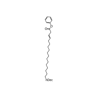 CCCCCCCCCCCCCCCCCCCCCCC/C=C/CC(=O)Oc1ccccc1